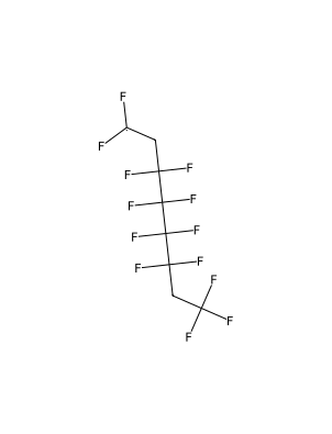 F[C](F)CC(F)(F)C(F)(F)C(F)(F)C(F)(F)CC(F)(F)F